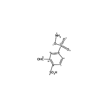 NOS(=O)(=O)c1ccc(S(=O)(=O)O)c(C=O)c1